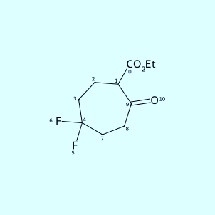 CCOC(=O)C1CCC(F)(F)CCC1=O